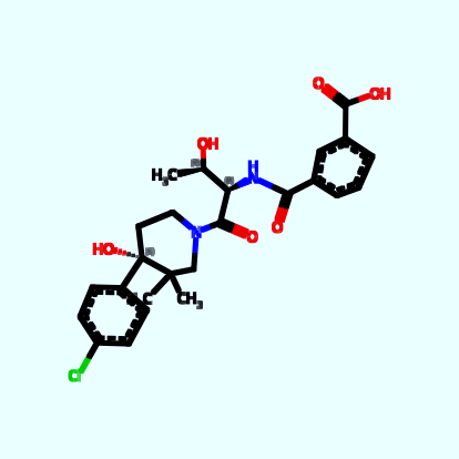 C[C@@H](O)[C@@H](NC(=O)c1cccc(C(=O)O)c1)C(=O)N1CC[C@](O)(c2ccc(Cl)cc2)C(C)(C)C1